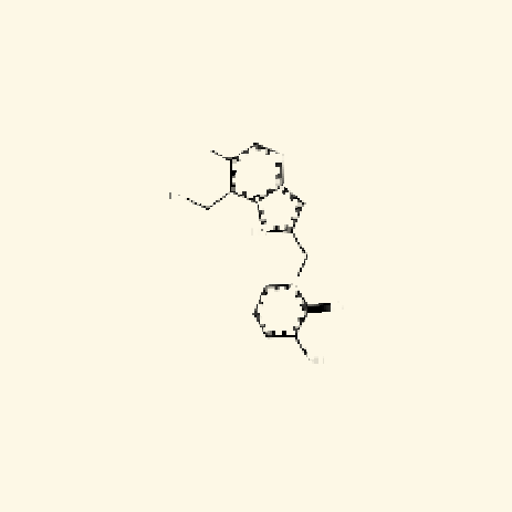 CC(C)Cc1c(F)cnc2cc(Cn3cccc(N)c3=O)[nH]c12